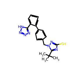 CC(C)(C)c1nc(S)nn1Cc1ccc(-c2ccccc2-c2nnn[nH]2)cc1